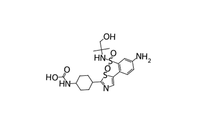 CC(C)(CO)NS(=O)(=O)c1cc(N)ccc1-c1cnc(C2CCC(NC(=O)O)CC2)s1